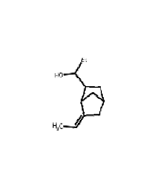 CC=C1CC2CC1C(C(O)CC)C2